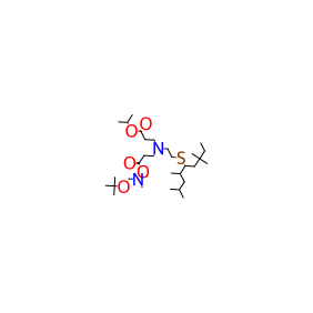 CCC(C)(C)CC(SCCN(CCC(=O)OC(C)C)CCC(=O)ON(C)COC(C)(C)C)C(C)CC(C)C